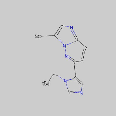 CC(C)(C)Cn1cncc1-c1ccc2ncc(C#N)n2n1